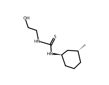 C[C@@H]1CCC[C@@H](NC(=S)NCCO)C1